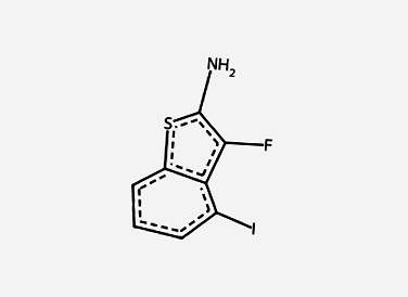 Nc1sc2cccc(I)c2c1F